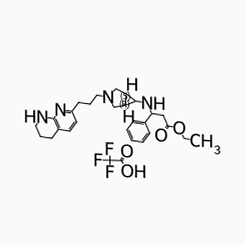 CCOC(=O)CC(NC1[C@H]2CN(CCCc3ccc4c(n3)NCCC4)C[C@@H]12)c1ccccc1.O=C(O)C(F)(F)F